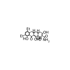 CCc1cc(CC)c2c(c1O)C(=O)C1=C(O)C3(O)C(=O)C(C(N)=O)=C(O)C[C@@H]3C[C@@H]1C2